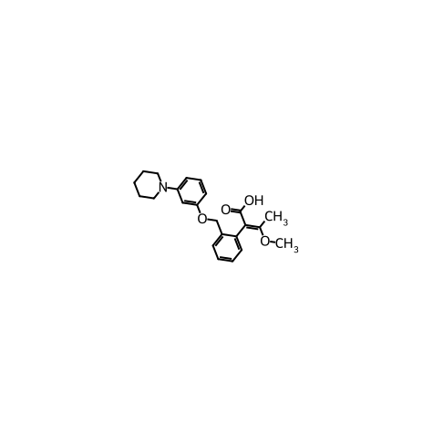 COC(C)=C(C(=O)O)c1ccccc1COc1cccc(N2CCCCC2)c1